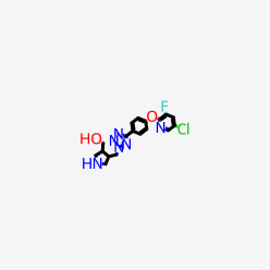 OCC1CNCC1Cn1nnc(-c2ccc(Oc3ncc(Cl)cc3F)cc2)n1